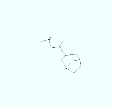 COC(=O)NC(C(=O)O)C1CC2CCC(C1)O2